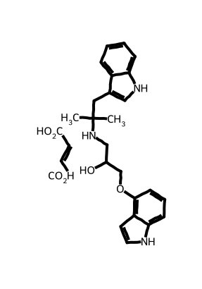 CC(C)(Cc1c[nH]c2ccccc12)NCC(O)COc1cccc2[nH]ccc12.O=C(O)/C=C/C(=O)O